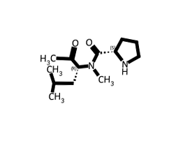 CC(=O)[C@@H](CC(C)C)N(C)C(=O)[C@@H]1CCCN1